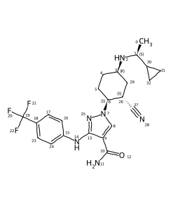 C[C@H](N[C@@H]1CC[C@H](n2cc(C(N)=O)c(Nc3ccc(C(F)(F)F)cc3)n2)[C@@H](C#N)C1)C1CC1